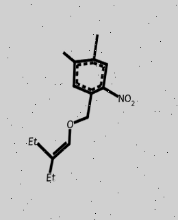 CCC(=COCc1cc(C)c(C)cc1[N+](=O)[O-])CC